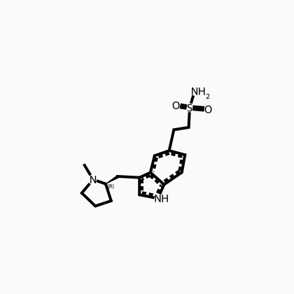 CN1CCC[C@@H]1Cc1c[nH]c2ccc(CCS(N)(=O)=O)cc12